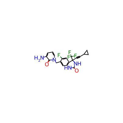 Nc1cccn(Cc2cc3c(cc2F)C(C#CC2CC2)(C(F)(F)F)NC(=O)N3)c1=O